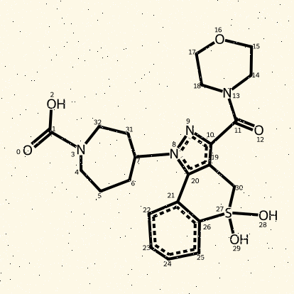 O=C(O)N1CCCC(n2nc(C(=O)N3CCOCC3)c3c2-c2ccccc2S(O)(O)C3)CC1